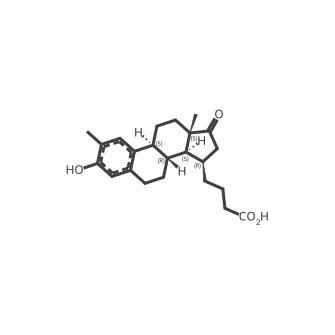 Cc1cc2c(cc1O)CC[C@H]1[C@@H]3[C@H](CCCC(=O)O)CC(=O)[C@@]3(C)CC[C@H]21